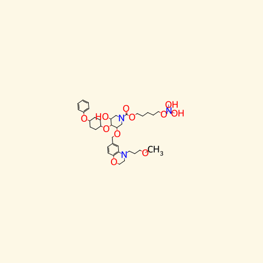 COCCCN1CCOc2ccc(COC3CN(C(=O)OCCCCCON(O)O)CC(O)C3OC3CCC(Oc4ccccc4)CC3)cc21